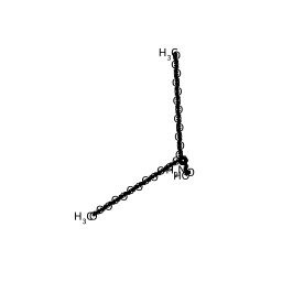 COCCOCCOCCOCCOCCOCCOCCOCCOCCOCCOCCOc1ccc(C[C@H](N)C(=O)O)cc1OCCOCCOCCOCCOCCOCCOCCOCCOCCOCCOCCOC